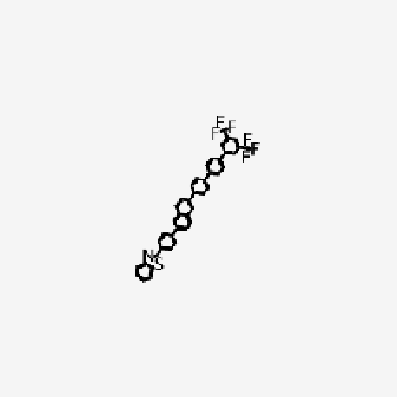 FC(F)(F)c1cc(-c2ccc(-c3ccc(-c4ccc5cc(-c6ccc(-c7nc8ccccc8s7)cc6)ccc5c4)cc3)cc2)cc(C(F)(F)F)c1